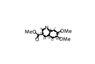 COC(=O)c1cnc2cc(OC)c(OC)cc2c1